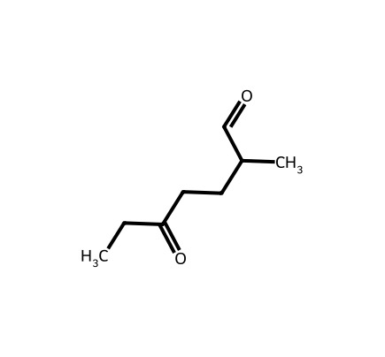 CCC(=O)CCC(C)C=O